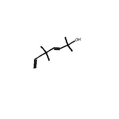 C=CC(C)(C)C=CC(C)(C)O